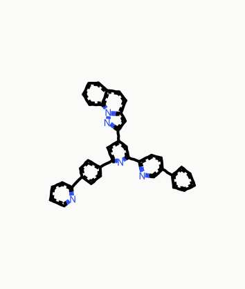 c1ccc(-c2ccc(-c3cc(-c4cc5ccc6ccccc6n5n4)cc(-c4ccc(-c5ccccn5)cc4)n3)nc2)cc1